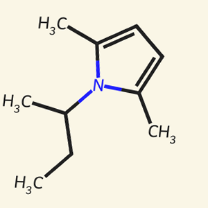 CCC(C)n1c(C)ccc1C